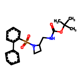 CC(C)(C)OC(=O)NCC1CCN1S(=O)(=O)c1ccccc1-c1ccccc1